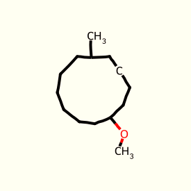 COC1CCCCCCC(C)CCCC1